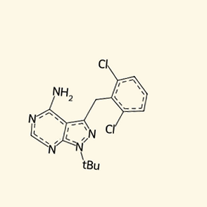 CC(C)(C)n1nc(Cc2c(Cl)cccc2Cl)c2c(N)ncnc21